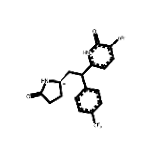 CCCc1ccc(C(C[C@H]2CCC(=O)N2)c2ccc(C(F)(F)F)cc2)[nH]c1=O